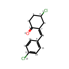 O=C1CCC(Cl)CC1=Cc1ccc(Cl)cc1